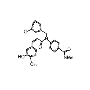 CNC(=O)c1ccc(N(Cc2cccc(Cl)c2)C(=O)C=Cc2ccc(O)c(O)c2)cc1